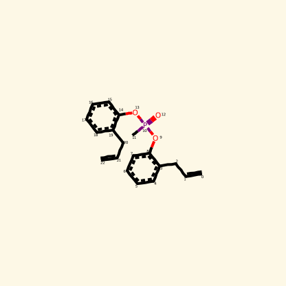 C=CCc1ccccc1OP(C)(=O)Oc1ccccc1CC=C